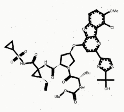 C=C[C@@H]1C[C@]1(NC(=O)[C@@H]1C[C@@H](Oc2cc(-c3csc(C(C)(C)O)n3)nc3c2oc2ccc(OC)c(Cl)c23)CN1C(=O)[C@@H](NC(=O)OC(C)(C)C)C(C)(C)C)C(=O)NS(=O)(=O)C1CC1